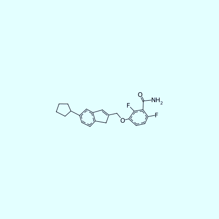 NC(=O)c1c(F)ccc(OCC2=Cc3cc(C4CCCC4)ccc3C2)c1F